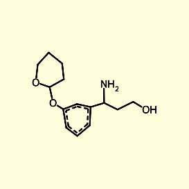 NC(CCO)c1cccc(OC2CCCCO2)c1